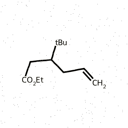 C=CCC(CC(=O)OCC)C(C)(C)C